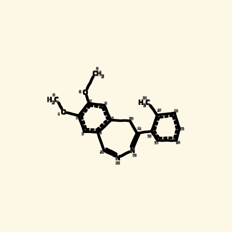 COc1cc2c(cc1OC)CC(c1ccccc1C)=NN=C2